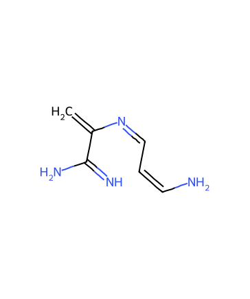 C=C(/N=C\C=C/N)C(=N)N